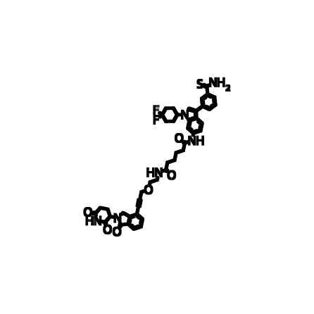 NC(=S)c1cccc(-c2cn(C3CCC(F)(F)CC3)c3cc(NC(=O)CCCCC(=O)NCCOCC#Cc4cccc5c4CN(C4CCC(=O)NC4=O)C5=O)ccc23)c1